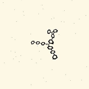 c1ccc(-c2ccc(-c3ccc(N(c4ccc(-c5ccc(-c6ccccc6)cc5)cc4)c4ccc(-c5ccc6c7ccccc7n(-c7ccccc7)c6c5)cc4)cc3)cc2)cc1